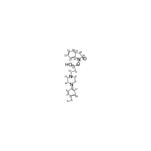 CCc1ccc(N2CCN(CCC(O)ON3C(=O)Cc4ccccc43)CC2)cc1